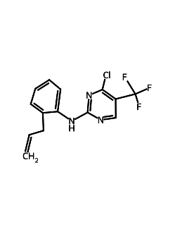 C=CCc1ccccc1Nc1ncc(C(F)(F)F)c(Cl)n1